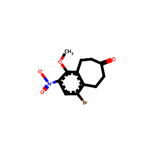 COc1c([N+](=O)[O-])cc(Br)c2c1CCC(=O)CC2